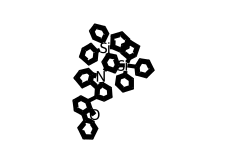 c1ccc([Si](c2ccccc2)(c2ccccc2)c2cc(-n3c4ccccc4c4c(-c5cccc6c5oc5ccccc56)cccc43)cc([Si](c3ccccc3)(c3ccccc3)c3ccccc3)c2)cc1